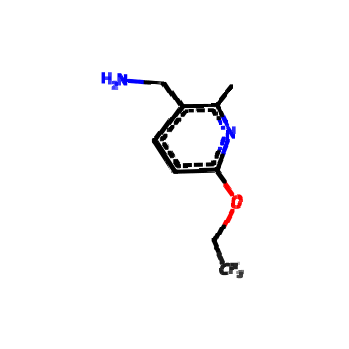 Cc1nc(OCC(F)(F)F)ccc1CN